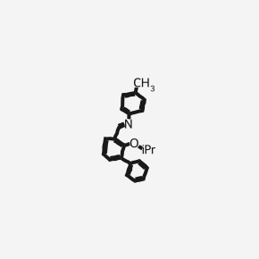 Cc1ccc(/N=C/c2cccc(-c3ccccc3)c2OC(C)C)cc1